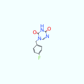 O=c1ncn(Cc2ccc(F)cc2)c(=O)[nH]1